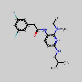 CCN(C)c1nc(NCC(C)C)ccc1NC(=O)Cc1cc(F)cc(F)c1